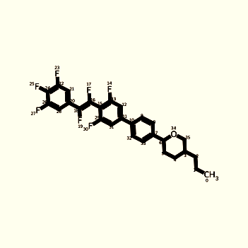 CCCC1CCC(c2ccc(-c3cc(F)c(/C(F)=C(\F)c4cc(F)c(F)c(F)c4)c(F)c3)cc2)OC1